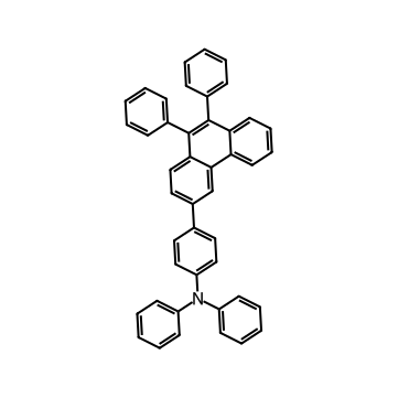 c1ccc(-c2c(-c3ccccc3)c3ccc(-c4ccc(N(c5ccccc5)c5ccccc5)cc4)cc3c3ccccc23)cc1